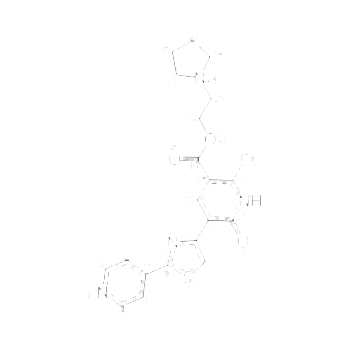 CCc1[nH]c(=O)c(-c2csc(-c3ccncc3)n2)cc1C(=O)OCCN1CCCC1